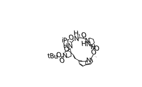 CC(C)[C@@H]1NC(=O)C2(/C=C/c3ccc4ccc(nc4c3)[C@@H](C)OC(=O)[C@@H]3CCCN(N3)C(=O)[C@H](C)NC1=O)CCN(C(=O)OC(C)(C)C)CC2